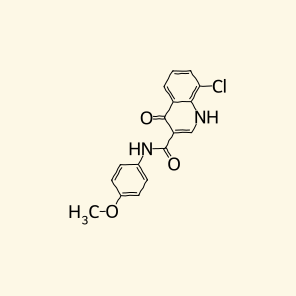 COc1ccc(NC(=O)c2c[nH]c3c(Cl)cccc3c2=O)cc1